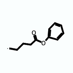 [CH2]CCCC(=O)Oc1ccccc1